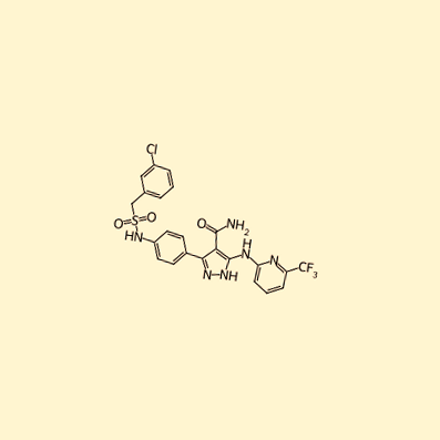 NC(=O)c1c(-c2ccc(NS(=O)(=O)Cc3cccc(Cl)c3)cc2)n[nH]c1Nc1cccc(C(F)(F)F)n1